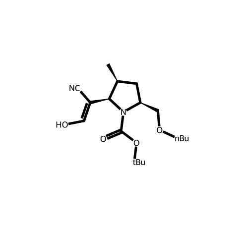 CCCCOC[C@@H]1C[C@H](C)[C@H](/C(C#N)=C/O)N1C(=O)OC(C)(C)C